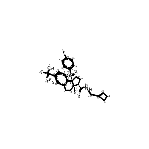 CC(F)(c1ccc2c(c1)CC[C@H]1[C@H](C(=O)NCC3CCC3)CC[C@@]21S(=O)(=O)c1ccc(F)cc1)C(F)(F)F